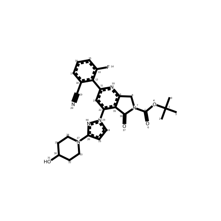 CC(C)(C)OC(=O)N1Cc2nc(-c3c(F)cccc3C#N)cc(-n3ccc(N4CCC(O)CC4)n3)c2C1=O